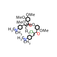 COc1ccc(C(=O)C(C)=Cc2ccc(N(C)C)cc2)c(OC)c1OC.COc1ccc(OC)c(C(=O)C(Cl)=Cc2ccc(N(C)C)cc2)c1